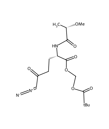 CO[C@@H](C)C(=O)N[C@@H](CCC(=O)C=[N+]=[N-])C(=O)OCOC(=O)C(C)(C)C